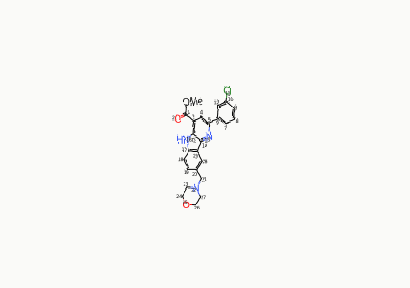 COC(=O)c1cc(-c2cccc(Cl)c2)nc2c1[nH]c1ccc(CN3CCOCC3)cc12